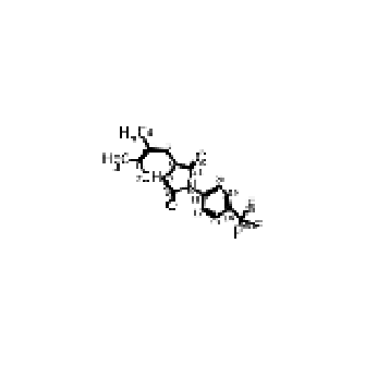 CC(C)=C(C)CC1CC(=O)N(c2ccc(C(F)(F)F)cc2)C1=O